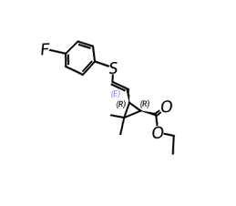 CCOC(=O)[C@@H]1[C@H](/C=C/Sc2ccc(F)cc2)C1(C)C